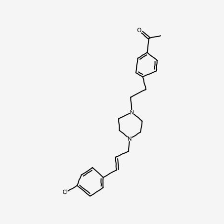 CC(=O)c1ccc(CCN2CCN(C/C=C/c3ccc(Cl)cc3)CC2)cc1